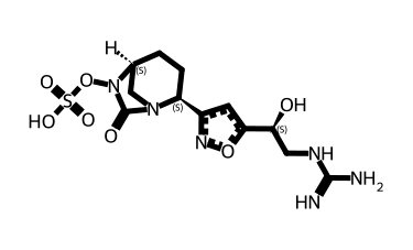 N=C(N)NC[C@H](O)c1cc([C@@H]2CC[C@H]3CN2C(=O)N3OS(=O)(=O)O)no1